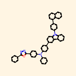 c1ccc(-c2nnc(-c3ccc(N(c4ccccc4)c4ccc(-c5ccc6c(c5)c5ccccc5n6-c5ccc(-c6cccc7ccccc67)cc5)cc4)cc3)o2)cc1